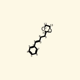 C(=Cc1ccccc1)CCC1OCCO1